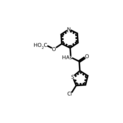 O=C(O)Oc1cnccc1[AsH]C(=O)c1ccc(Cl)s1